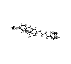 CCCCc1ccc(CN(CCCCCCc2nn[nH]n2)S(C)(=O)=O)cc1